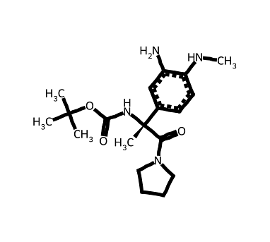 CNc1ccc([C@@](C)(NC(=O)OC(C)(C)C)C(=O)N2CCCC2)cc1N